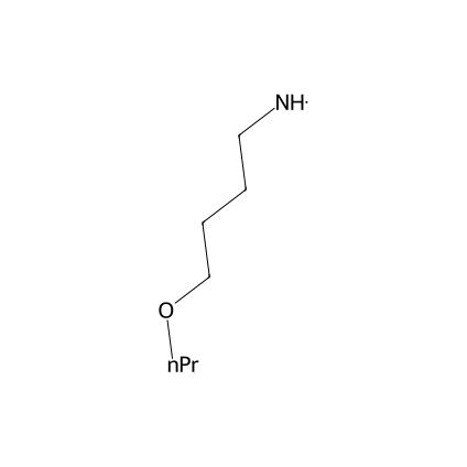 CCCOCCCC[NH]